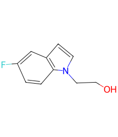 OCCn1ccc2cc(F)ccc21